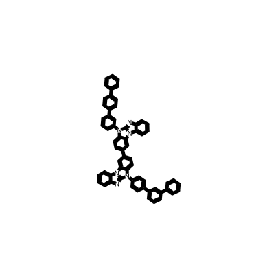 c1ccc(-c2ccc(-c3cccc(-n4c5ccc(-c6ccc7c(c6)n6c8ccccc8nc6n7-c6ccc(-c7cccc(-c8ccccc8)c7)cc6)cc5n5c6ccccc6nc45)c3)cc2)cc1